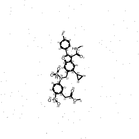 CNC(=O)c1c(-c2ccc(F)cc2)oc2cc(CN(c3ccc([N+](=O)[O-])c(CC(=O)OC)c3)[SH](=O)=O)c(C3CC3)cc12